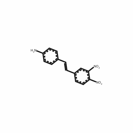 Nc1ccc(C=Cc2ccc([N+](=O)[O-])c([N+](=O)[O-])c2)cc1